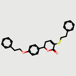 O=C1OC(c2ccc(OCCc3ccccc3)cc2)CC=C1SCCc1ccccc1